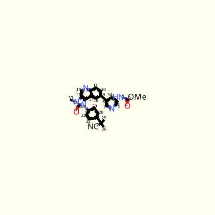 COC(=O)Nc1cncc(-c2ccc3ncc4c(c3c2)n(-c2ccc(C(C)(C)C#N)cc2)c(=O)n4C)c1